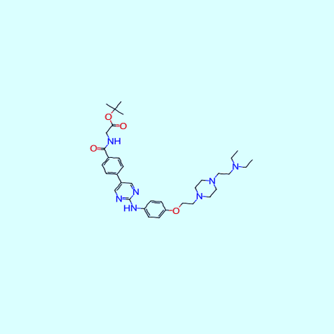 CCN(CC)CCN1CCN(CCOc2ccc(Nc3ncc(-c4ccc(C(=O)NCC(=O)OC(C)(C)C)cc4)cn3)cc2)CC1